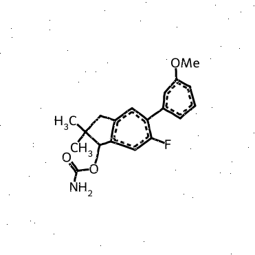 COc1cccc(-c2cc3c(cc2F)C(OC(N)=O)C(C)(C)C3)c1